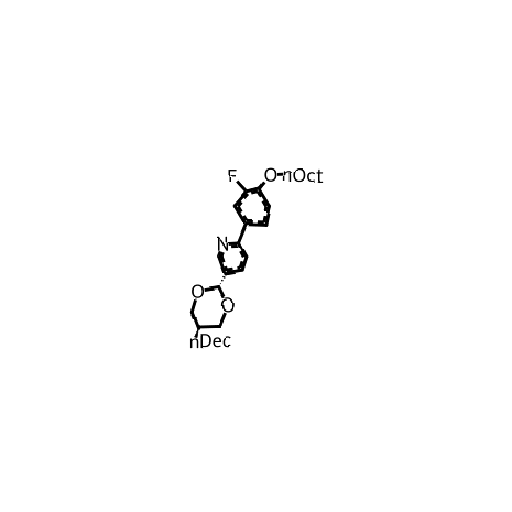 CCCCCCCCCC[C@H]1CO[C@H](c2ccc(-c3ccc(OCCCCCCCC)c(F)c3)nc2)OC1